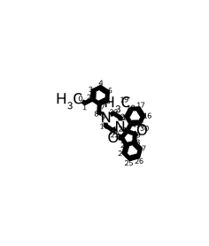 CCc1ccccc1CN1CCN(C2(c3cccc(C)c3)C(=O)c3ccccc3C2=O)CC1